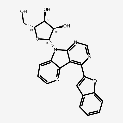 OC[C@H]1O[C@@H](n2c3cccnc3c3c(-c4cc5ccccc5o4)ncnc32)[C@H](O)[C@@H]1O